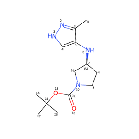 Cc1n[nH]cc1N[C@H]1CCN(C(=O)OC(C)(C)C)C1